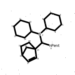 CCCCCC(B(C1CCCCC1)C1CCCCC1)C12C=CC(CC1)C2